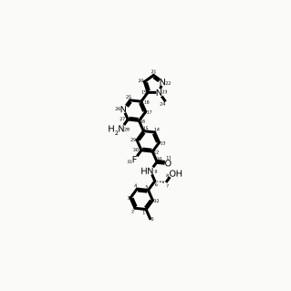 Cc1cccc([C@@H](CO)NC(=O)c2ccc(-c3cc(-c4ccnn4C)cnc3N)cc2F)c1